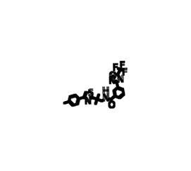 Cc1ccc(-c2csc(C(C)(C)CNC(=O)c3cccc(-c4noc(C(F)(F)F)n4)c3)n2)cc1